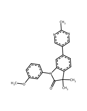 COc1cccc(N2C(=O)C(C)(C)c3ccc(-c4cnc(C)nc4)cc32)c1